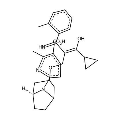 Cc1ccccc1C(=N)/C(COC1CC2CC[C@@H](C1)N2c1ccc(C(=O)O)c(C)n1)=C(\O)C1CC1